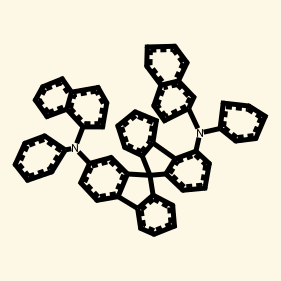 c1ccc(N(c2ccc3ccccc3c2)c2cccc3c2-c2ccccc2C32c3ccccc3-c3ccc(N(c4ccccc4)c4cccc5ccccc45)cc32)cc1